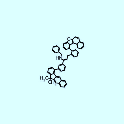 CC1(C)c2cc3ccccc3cc2-c2c(-c3cccc(/C(=C/Cc4ccccc4-c4cccc5oc6ccc7ccccc7c6c45)NCc4ccccc4)c3)cccc21